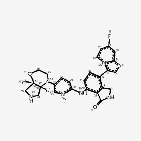 O=C1NCc2c(-c3cnc4cc(F)ccn34)ccc(Nc3ccc(N4CCO[C@H]5CNC[C@H]54)cn3)c21